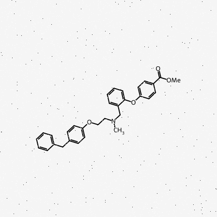 COC(=O)c1ccc(Oc2ccccc2CN(C)CCOc2ccc(Cc3ccccc3)cc2)cc1